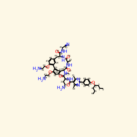 CCCC(CCC)Oc1ccc(-c2nc(C)c(C(=O)NC(CCN)C(=O)N(C)C3C(=O)NC(C)C(=O)NC(C(=O)NCC#N)Cc4ccc(OCCN)c(c4)-c4cc3ccc4OCCN)c(C)n2)cc1